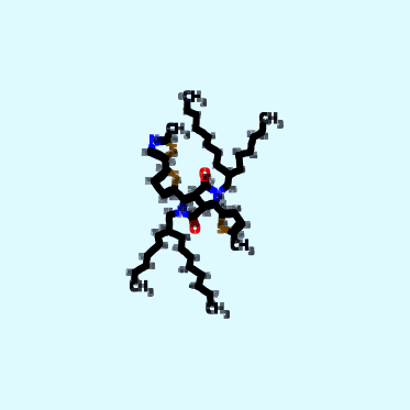 CCCCCCCCC(CCCCCC)CN1C(=O)C2=C(c3ccc(-c4cnc(C)s4)s3)N(CC(CCCCCC)CCCCCCCC)C(=O)C2=C1c1ccc(C)s1